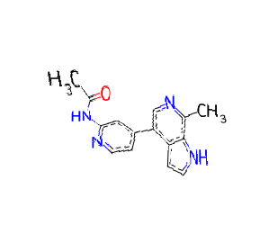 CC(=O)Nc1cc(-c2cnc(C)c3[nH]ccc23)ccn1